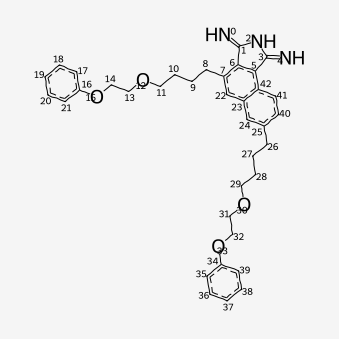 N=C1NC(=N)c2c1c(CCCCOCCOc1ccccc1)cc1cc(CCCCOCCOc3ccccc3)ccc21